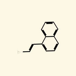 BrC=Cc1cccc2ccccc12